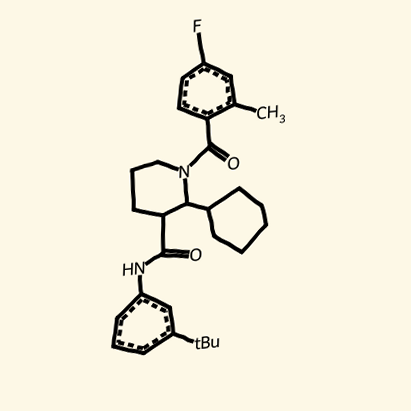 Cc1cc(F)ccc1C(=O)N1CCCC(C(=O)Nc2cccc(C(C)(C)C)c2)C1C1CCCCC1